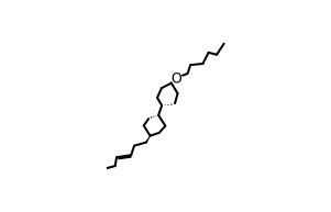 CC/C=C/CC[C@H]1CC[C@H]([C@H]2CC[C@H](OCCCCCC)CC2)CC1